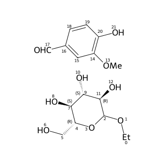 CCOC1O[C@H](CO)[C@@H](O)[C@H](O)[C@H]1O.COc1cc(C=O)ccc1O